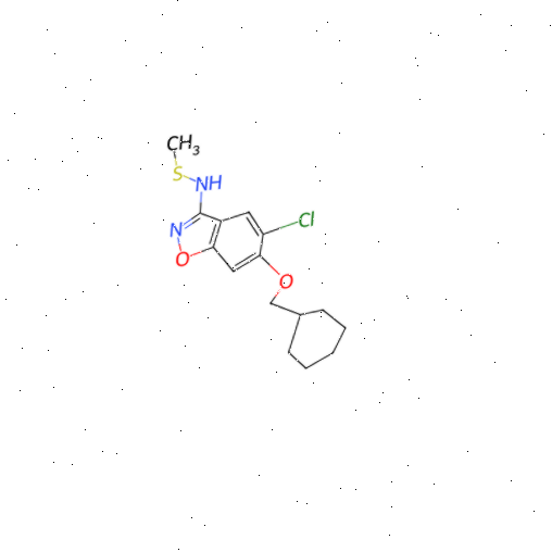 CSNc1noc2cc(OCC3CCCCC3)c(Cl)cc12